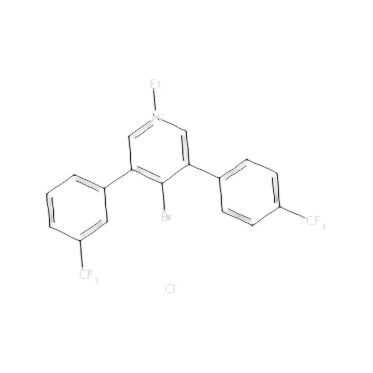 CC[n+]1cc(-c2ccc(C(F)(F)F)cc2)c(Br)c(-c2cccc(C(F)(F)F)c2)c1.[Cl-]